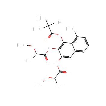 COC(C)C(=O)Oc1cc2cccc(C)c2c(OC(=O)C(C)(C)C)c1OC(=O)C(C)OC